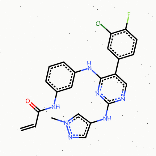 C=CC(=O)Nc1cccc(Nc2nc(Nc3cnn(C)c3)ncc2-c2ccc(F)c(Cl)c2)c1